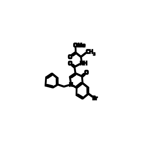 COC(=O)C(C)NC(=O)c1cn(Cc2ccccc2)c2ccc(Br)cc2c1=O